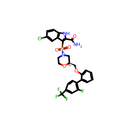 NC(=O)c1[nH]c2ccc(Cl)cc2c1S(=O)(=O)N1CCO[C@H](COc2ccccc2-c2ccc(C(F)(F)F)cc2F)C1